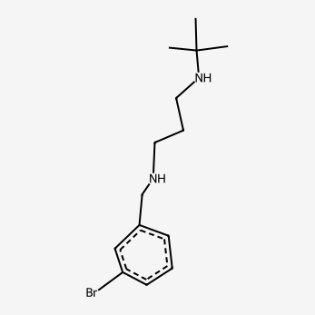 CC(C)(C)NCCCNCc1cccc(Br)c1